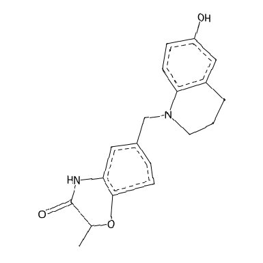 CC1Oc2ccc(CN3CCCc4cc(O)ccc43)cc2NC1=O